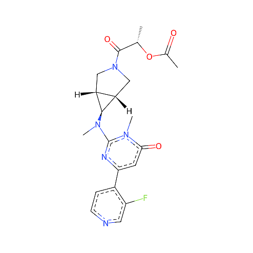 CC(=O)O[C@@H](C)C(=O)N1C[C@@H]2[C@H](C1)[C@H]2N(C)c1nc(-c2ccncc2F)cc(=O)n1C